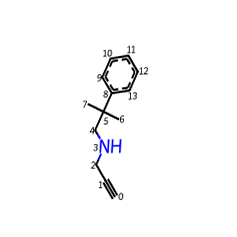 C#CCNCC(C)(C)c1ccccc1